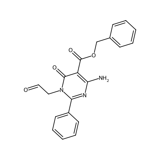 Nc1nc(-c2ccccc2)n(CC=O)c(=O)c1C(=O)OCc1ccccc1